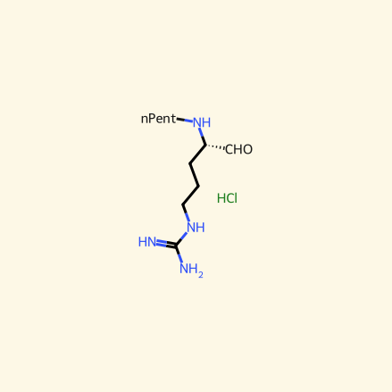 CCCCCN[C@H](C=O)CCCNC(=N)N.Cl